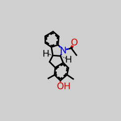 CC(=O)N1c2ccccc2[C@@H]2Cc3c(cc(C)c(O)c3C)[C@@H]21